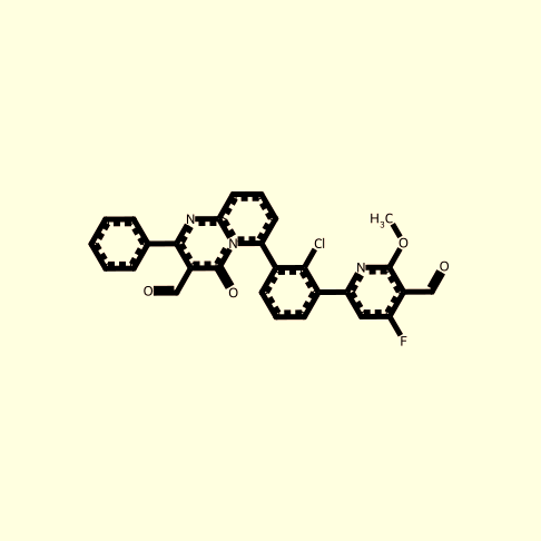 COc1nc(-c2cccc(-c3cccc4nc(-c5ccccc5)c(C=O)c(=O)n34)c2Cl)cc(F)c1C=O